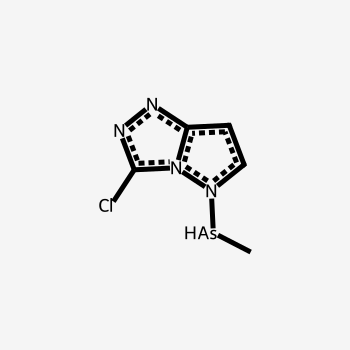 C[AsH]n1ccc2nnc(Cl)n21